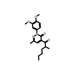 CCCCC(C)C(=O)c1cc(C)nn(-c2ccc(OC)c(OC)c2)c1=O